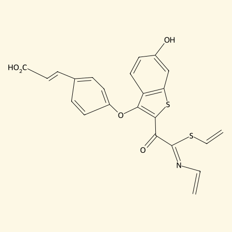 C=C/N=C(\SC=C)C(=O)c1sc2cc(O)ccc2c1Oc1ccc(/C=C/C(=O)O)cc1